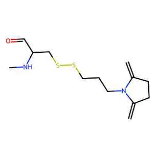 C=C1CCC(=C)N1CCCSSCC(C=O)NC